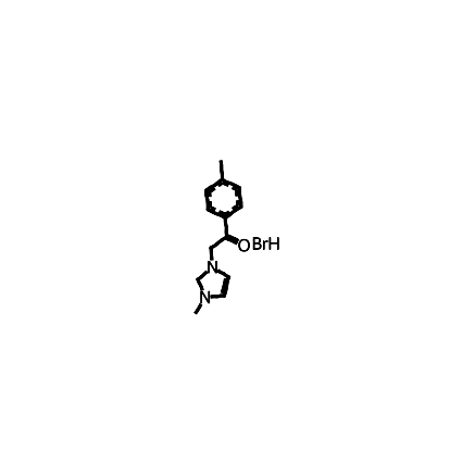 Br.Cc1ccc(C(=O)CN2C=CN(C)C2)cc1